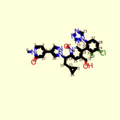 Cn1ccc(-c2cnn(C(CC3CC3)c3cc(CO)c(-c4c(-n5cnnn5)ccc(Cl)c4F)c[n+]3[O-])c2)cc1=O